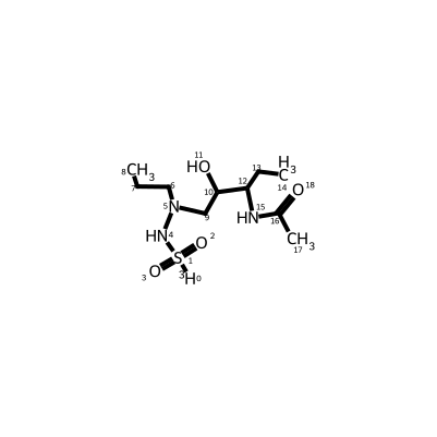 [3H]S(=O)(=O)NN(CCC)CC(O)C(CC)NC(C)=O